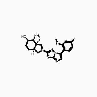 COc1cc(F)ccc1-c1cnc2sc(N3C[C@H]4CC[C@@H](O)[C@@H](N)[C@H]4C3)nn12